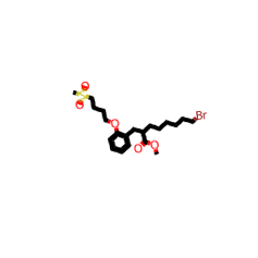 COC(=O)C(CCCCCCBr)Cc1ccccc1OCCCCS(C)(=O)=O